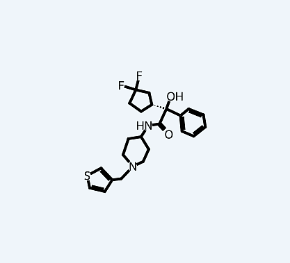 O=C(NC1CCN(Cc2ccsc2)CC1)C(O)(c1ccccc1)[C@@H]1CCC(F)(F)C1